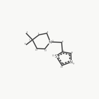 CC1(C)CCN(Cc2cncs2)CC1